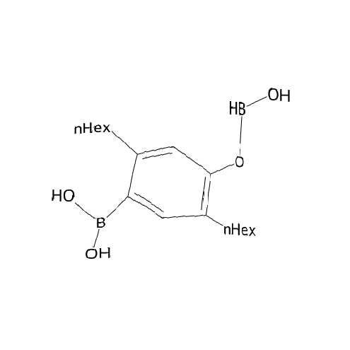 CCCCCCc1cc(B(O)O)c(CCCCCC)cc1OBO